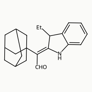 CCC1C(=C(C=O)C23CC4CC(CC(C4)C2)C3)Nc2ccccc21